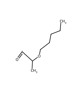 CCCCCOC(C)[C]=O